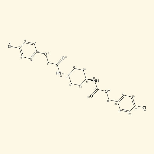 O=C(COc1ccc(Cl)cc1)N[C@H]1CC[C@H](NC(=O)OCc2ccc(Cl)cc2)CC1